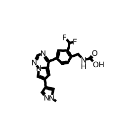 Cn1cc(-c2cc3c(-c4ccc(CNC(=O)O)c(C(F)F)c4)ncnn3c2)cn1